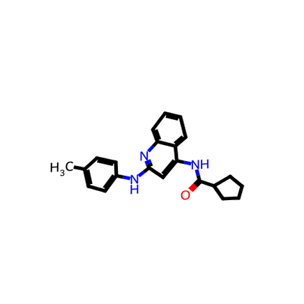 Cc1ccc(Nc2cc(NC(=O)C3CCCC3)c3ccccc3n2)cc1